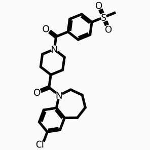 CS(=O)(=O)c1ccc(C(=O)N2CCC(C(=O)N3CCCCc4cc(Cl)ccc43)CC2)cc1